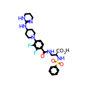 O=C(NC[C@H](NS(=O)(=O)c1ccccc1)C(=O)O)c1ccc(N2CCC(NC3=NCCCN3)CC2)c(F)c1F